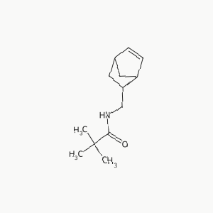 CC(C)(C)C(=O)NCC1CC2C=CC1C2